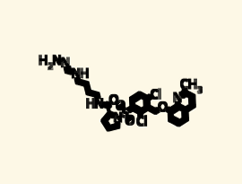 Cc1ccc2cccc(OCc3c(Cl)ccc(S(=O)(=O)N4CCC[C@H]4C(=O)NCCCCNC=NN)c3Cl)c2n1